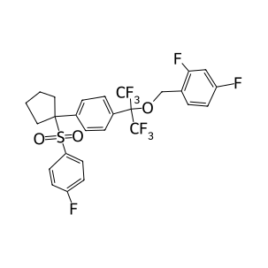 O=S(=O)(c1ccc(F)cc1)C1(c2ccc(C(OCc3ccc(F)cc3F)(C(F)(F)F)C(F)(F)F)cc2)CCCC1